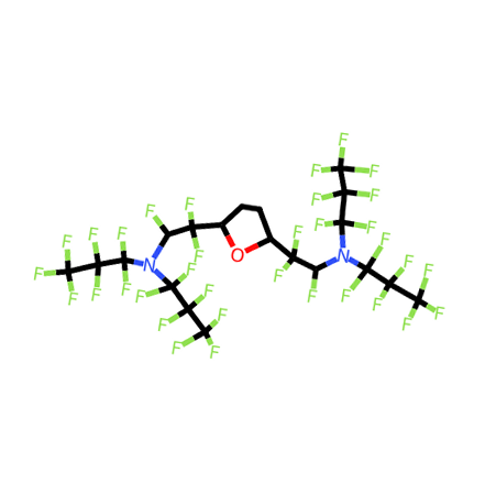 FC(N(C(F)(F)C(F)(F)C(F)(F)F)C(F)(F)C(F)(F)C(F)(F)F)C(F)(F)C1CCC(C(F)(F)C(F)N(C(F)(F)C(F)(F)C(F)(F)F)C(F)(F)C(F)(F)C(F)(F)F)O1